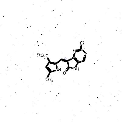 CCOC(=O)c1cc(C)[nH]c1/C=C1\C(=O)Nc2cnc(Cl)nc21